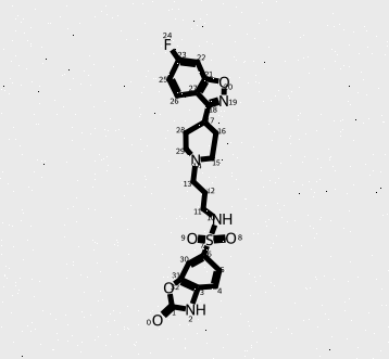 O=c1[nH]c2ccc(S(=O)(=O)NCCCN3CCC(c4noc5cc(F)ccc45)CC3)cc2o1